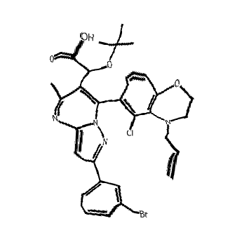 C=CCN1CCOc2ccc(-c3c(C(OC(C)(C)C)C(=O)O)c(C)nc4cc(-c5cccc(Br)c5)nn34)c(Cl)c21